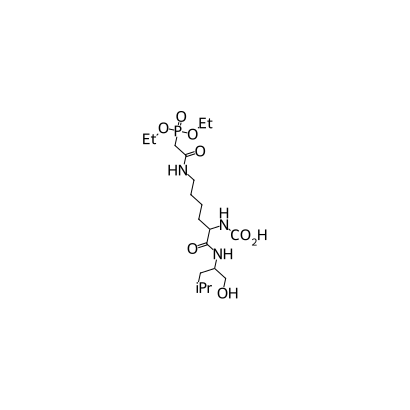 CCOP(=O)(CC(=O)NCCCCC(NC(=O)O)C(=O)NC(CO)CC(C)C)OCC